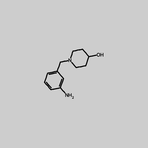 Nc1cccc(CN2CCC(O)CC2)c1